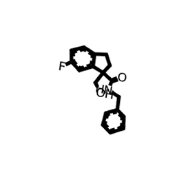 O=C(NCc1ccccc1)C1(CO)CCc2ccc(F)cc21